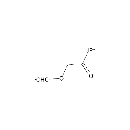 CC(C)C(=O)CO[C]=O